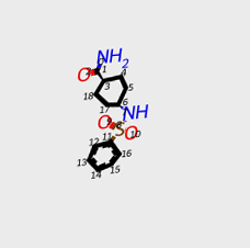 NC(=O)[C@H]1CC[C@H](NS(=O)(=O)c2ccccc2)CC1